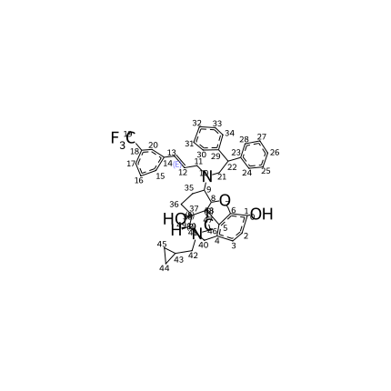 Oc1ccc2c3c1OC1C(N(C/C=C/c4cccc(C(F)(F)F)c4)CC(c4ccccc4)c4ccccc4)CC[C@@]4(O)[C@@H](C2)N(CC2CC2)CC[C@]314